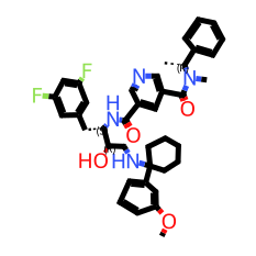 COc1cccc(C2(NC[C@@H](O)[C@H](Cc3cc(F)cc(F)c3)NC(=O)c3cncc(C(=O)N(C)[C@H](C)c4ccccc4)c3)CCCCC2)c1